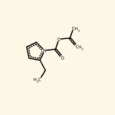 C=C(C)OC(=O)n1cccc1CC